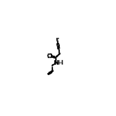 [CH2]C#CCC(=O)NCC=C